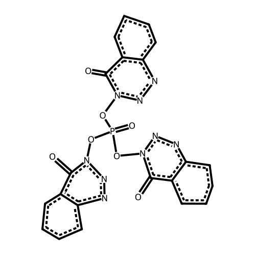 O=c1c2ccccc2nnn1OP(=O)(On1nnc2ccccc2c1=O)On1nnc2ccccc2c1=O